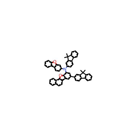 CC1(C)c2ccccc2-c2ccc(-c3cc(N(c4ccc5c(c4)C(C)(C)c4ccccc4-5)c4ccc5c(c4)oc4ccccc45)c4oc5c6ccccc6ccc5c4c3)cc21